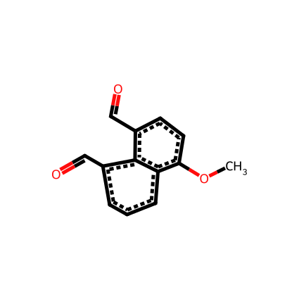 COc1ccc(C=O)c2c(C=O)cccc12